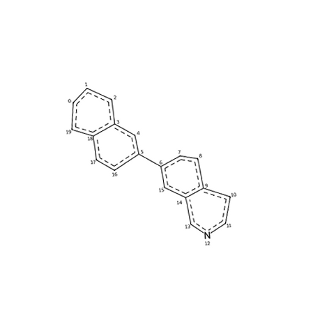 c1ccc2cc(-c3ccc4ccncc4c3)ccc2c1